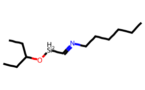 CCCCCCN=C[SiH2]OC(CC)CC